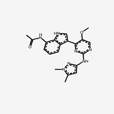 COc1cnc(Nc2cc(C)n(C)n2)nc1-c1c[nH]c2c(NC(C)=O)cccc12